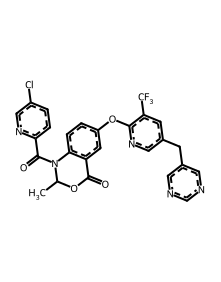 CC1OC(=O)c2cc(Oc3ncc(Cc4cncnc4)cc3C(F)(F)F)ccc2N1C(=O)c1ccc(Cl)cn1